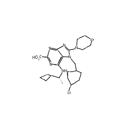 CCC1CCC(Cn2c(N3CCOCC3)nc3nc(C(=O)O)nc(N[C@H](C)C4CCC4)c32)CC1